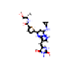 CC(C)[C@H](CO)NC(=O)C1=CCC(c2cc(NC3CC3)n3ncc(/C=C4\NC(=O)NC4=O)c3n2)S1